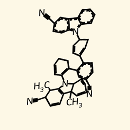 CC1C2=C(C=CC1C#N)C1(C)C=CC=CC1N2C1=C(c2cc(C#N)ccc2C2=CCC(n3c4ccccc4c4cc(C#N)ccc43)C=C2)CCC=C1